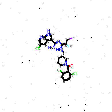 N/C(=N\C(NC[C@H]1CCCN(C(=O)c2c(Cl)cccc2Cl)C1)=C(\F)CI)c1c[nH]c2ncc(Cl)cc12